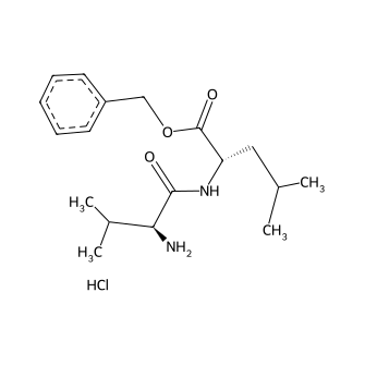 CC(C)C[C@H](NC(=O)[C@@H](N)C(C)C)C(=O)OCc1ccccc1.Cl